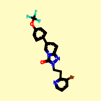 O=c1n(CCc2ncccc2Br)nc2ccc(-c3ccc(OC(F)(F)F)cc3)cn12